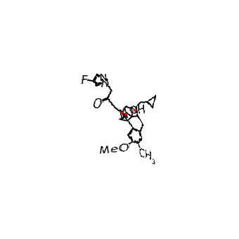 COc1cc2c(cc1C)CC1N(CC3CC3)CCC23CCN(C(=O)Cn2cc(F)cn2)CCC13O